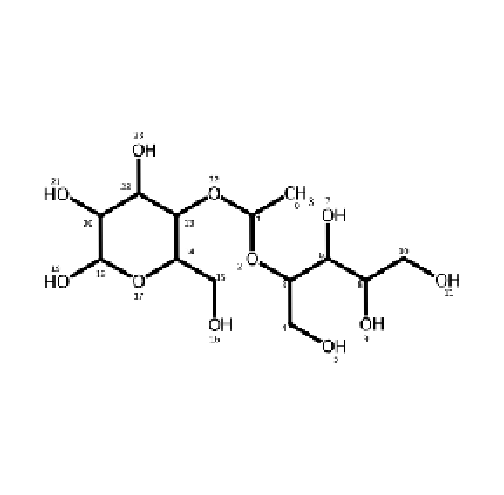 CC(OC(CO)C(O)C(O)CO)OC1C(CO)OC(O)C(O)C1O